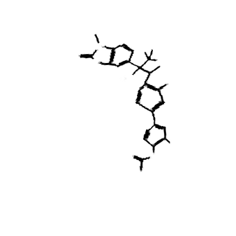 CC(c1ccc(-c2ccc(OC(=O)O)c(Cl)c2)cc1Cl)C(O)(c1ccc2c(c1)oc(=O)n2C)C(F)(F)F